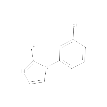 CCCc1nccn1-c1cccc(CC)c1